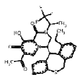 CCc1cccc2c1[C@H](C1CN([C@H](C)C(F)(F)F)C(=O)c3c(O)c(=O)c(C(C)=O)cn31)c1ccccc1SC2